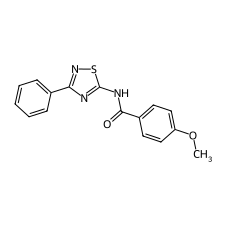 COc1ccc(C(=O)Nc2nc(-c3ccccc3)ns2)cc1